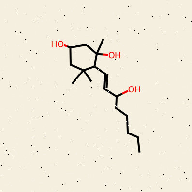 CCCCCC(O)/C=C/C1C(C)(C)CC(O)CC1(C)O